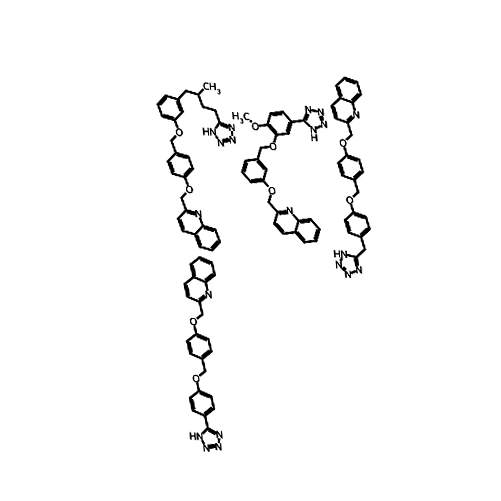 CC(CCc1nnn[nH]1)Cc1cccc(OCc2ccc(OCc3ccc4ccccc4n3)cc2)c1.COc1ccc(-c2nnn[nH]2)cc1OCc1cccc(OCc2ccc3ccccc3n2)c1.c1ccc2nc(COc3ccc(COc4ccc(-c5nnn[nH]5)cc4)cc3)ccc2c1.c1ccc2nc(COc3ccc(COc4ccc(Cc5nnn[nH]5)cc4)cc3)ccc2c1